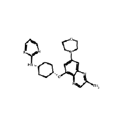 Cc1cnc2c(O[C@H]3CC[C@@H](Nc4ncccn4)CC3)cc(N3CCOCC3)cc2n1